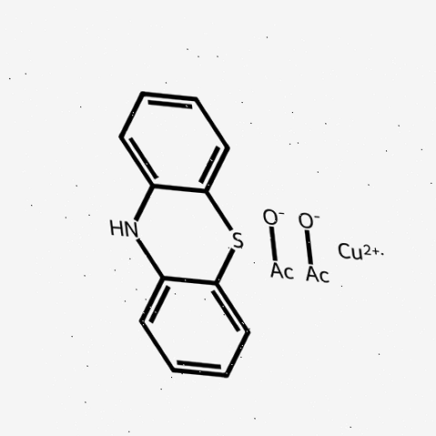 CC(=O)[O-].CC(=O)[O-].[Cu+2].c1ccc2c(c1)Nc1ccccc1S2